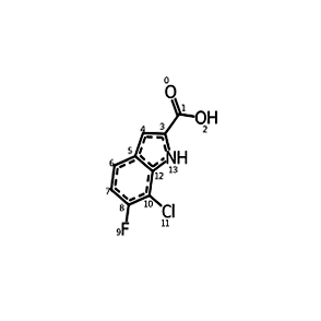 O=C(O)c1cc2ccc(F)c(Cl)c2[nH]1